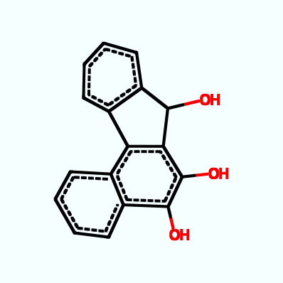 Oc1c2c(c3ccccc3c1O)-c1ccccc1C2O